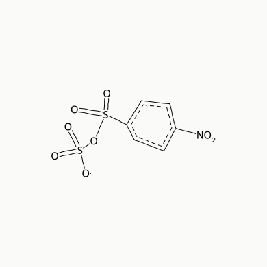 [O]S(=O)(=O)OS(=O)(=O)c1ccc([N+](=O)[O-])cc1